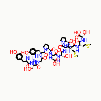 CSCC[C@H](NC(=O)[C@H](CCSC)NC(=O)[C@@H]1CCCN1C(=O)[C@@H](NC(=O)[C@H](CO)NC(=O)[C@H](CC(=O)O)NC(=O)[C@@H]1CCCN1C(=O)[C@H](Cc1ccc(O)cc1)NC(=O)[C@H](C)NC(=O)[C@H](CO)NC(=O)[C@@H](N)Cc1ccc(O)cc1)C(C)C)C(=O)N[C@@H](CO)C(=O)O